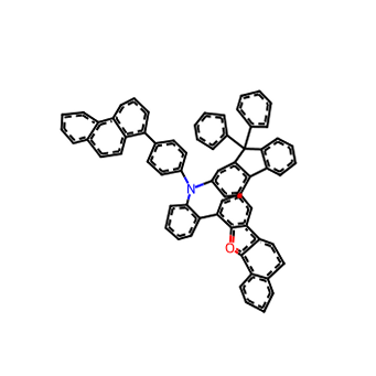 c1ccc(C2(c3ccccc3)c3ccccc3-c3ccc(N(c4ccc(-c5cccc6c5ccc5ccccc56)cc4)c4ccccc4-c4cccc5c4oc4c6ccccc6ccc54)cc32)cc1